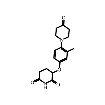 Cc1cc(OC2CCC(=O)NC2=O)ccc1N1CCC(=O)CC1